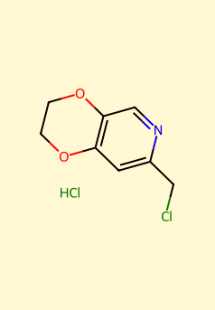 Cl.ClCc1cc2c(cn1)OCCO2